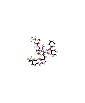 CC(C)(C)OC(=O)N[C@@H]1C(=O)N2C(C(=O)OC(c3ccccc3)c3ccccc3)=C(C=C3CCN(Cc4ccc(C(F)(F)F)cc4)C3=O)C[S@+]([O-])[C@H]12